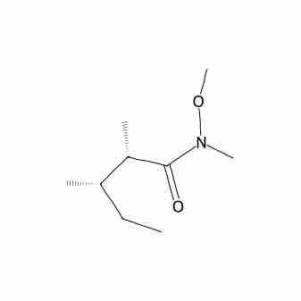 CC[C@H](C)[C@H](C)C(=O)N(C)OC